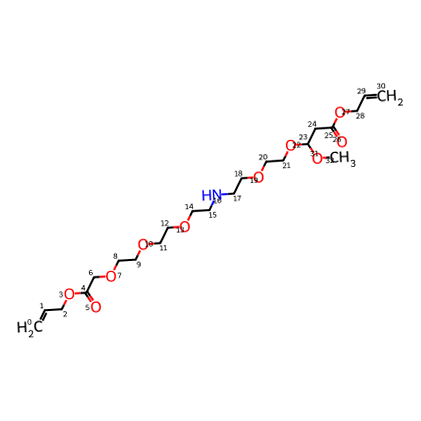 C=CCOC(=O)COCCOCCOCCNCCOCCOC(CC(=O)OCC=C)OC